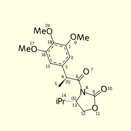 COc1cc([C@H](C)C(=O)N2C(=O)OC[C@@H]2C(C)C)cc(OC)c1OC